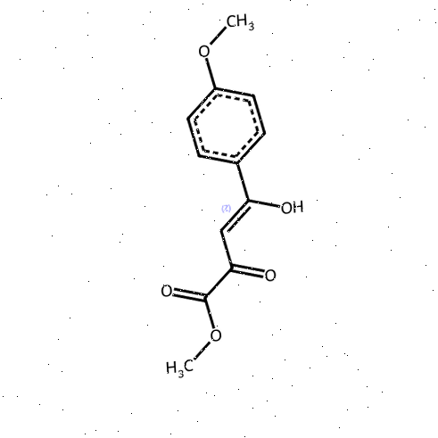 COC(=O)C(=O)/C=C(\O)c1ccc(OC)cc1